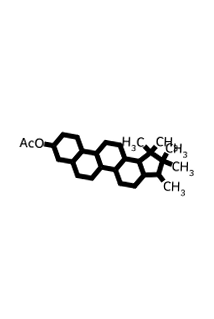 CC(=O)OC1CCC2C(CCC3C2CCC2C3CCC3C(C)C(C)(C)C(C)(C)C23)C1